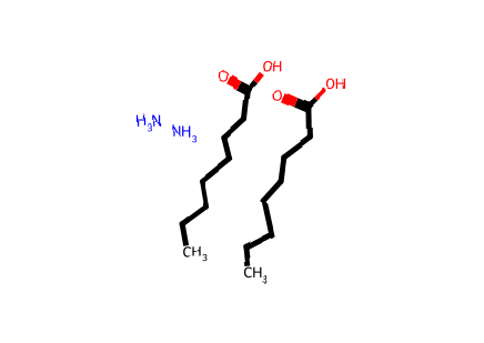 CCCCCCCC(=O)O.CCCCCCCC(=O)O.N.N